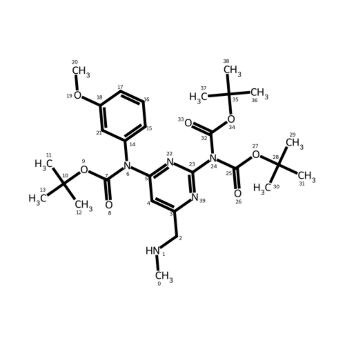 CNCc1cc(N(C(=O)OC(C)(C)C)c2cccc(OC)c2)nc(N(C(=O)OC(C)(C)C)C(=O)OC(C)(C)C)n1